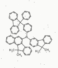 CC1(C)c2ccccc2-c2cc(N(c3cccc(C4(c5ccccc5)c5ccccc5-c5ccccc54)c3)c3cc4ccccc4c4c3-c3ccccc3C4(C)C)ccc21